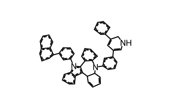 C1=CC2c3c(n(-c4cccc(-c5cccc6ccccc56)c4)c4ccccc34)-c3ccccc3N(c3cccc(C4=CNCC(c5ccccc5)=C4)c3)C2C=C1